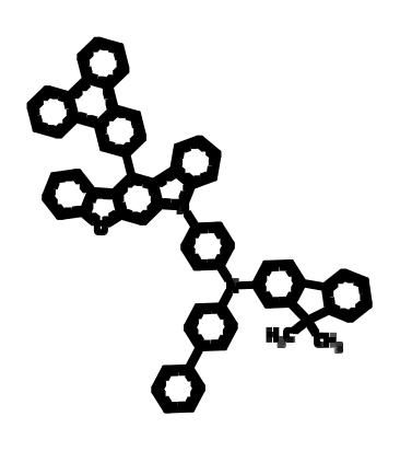 CC1(C)c2ccccc2-c2ccc(N(c3ccc(-c4ccccc4)cc3)c3ccc(-n4c5ccccc5c5c(-c6ccc7c8ccccc8c8ccccc8c7c6)c6c(cc54)oc4ccccc46)cc3)cc21